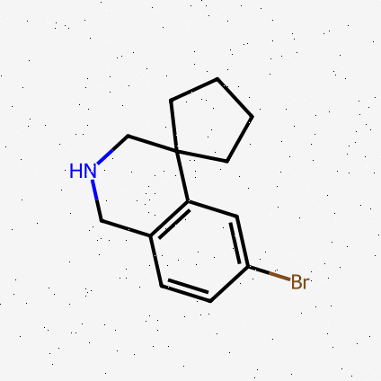 Brc1ccc2c(c1)C1(CCCC1)CNC2